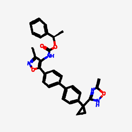 C=C1N=C(C2(c3ccc(-c4ccc(-c5onc(C)c5NC(=O)O[C@H](C)c5ccccc5)cc4)cc3)CC2)NO1